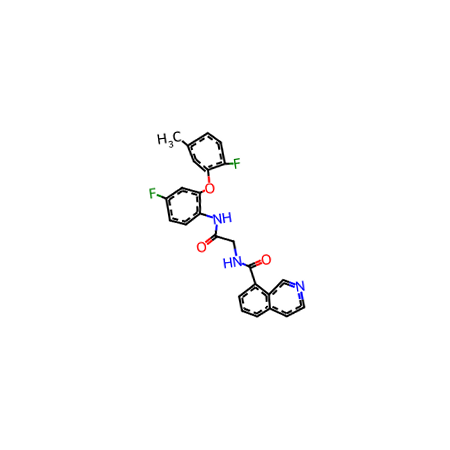 Cc1ccc(F)c(Oc2cc(F)ccc2NC(=O)CNC(=O)c2cccc3ccncc23)c1